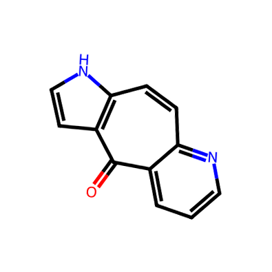 O=c1c2cccnc2ccc2[nH]ccc12